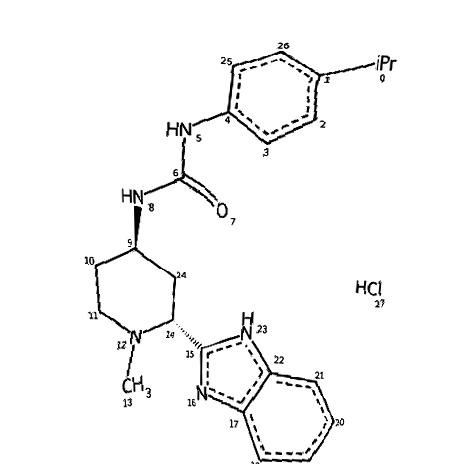 CC(C)c1ccc(NC(=O)N[C@@H]2CCN(C)[C@@H](c3nc4ccccc4[nH]3)C2)cc1.Cl